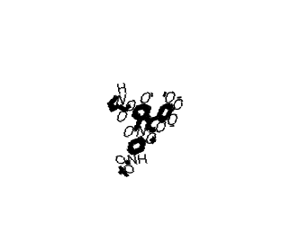 COC(=O)c1c(-c2cc(OC)c(OC)c(OC)c2)c2cc(OC)c(OC(=O)c3ccc[nH]3)cc2c(=O)n1-c1ccc(NC(=O)OC(C)(C)C)cc1